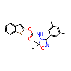 CCC1(C)ON=C(c2cc(C)cc(C)c2)N1NC(=O)Oc1cc2ccccc2s1